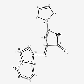 O=C1NC(N2CC=CC2)=NC1=Cc1c[nH]c2ncccc12